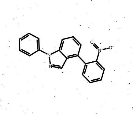 O=[N+]([O-])c1ccccc1-c1cccc2c1cnn2-c1ccccc1